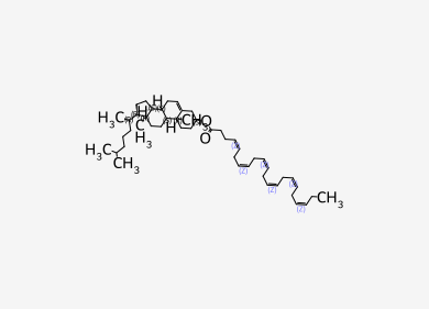 CC/C=C\C/C=C\C/C=C\C/C=C\C/C=C\C/C=C\CCC(=O)O[C@H]1CC[C@@]2(C)C(=CC[C@H]3[C@@H]4CC[C@H]([C@H](C)CCCC(C)C)[C@@]4(C)CC[C@@H]32)C1